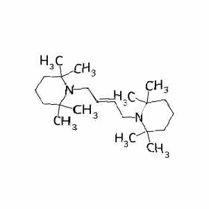 CC1(C)CCCC(C)(C)N1C/C=C/CN1C(C)(C)CCCC1(C)C